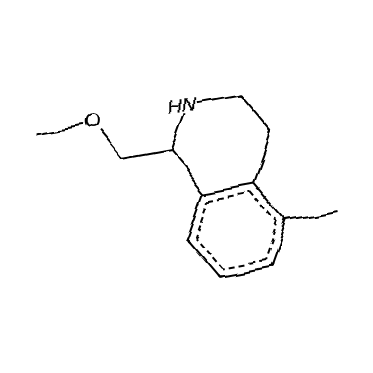 COCC1NCCc2c(C)cccc21